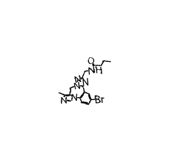 CCCC(=O)NCc1nc2n(n1)Cc1c(C)ncn1-c1ccc(Br)cc1-2